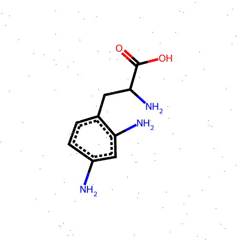 Nc1ccc(CC(N)C(=O)O)c(N)c1